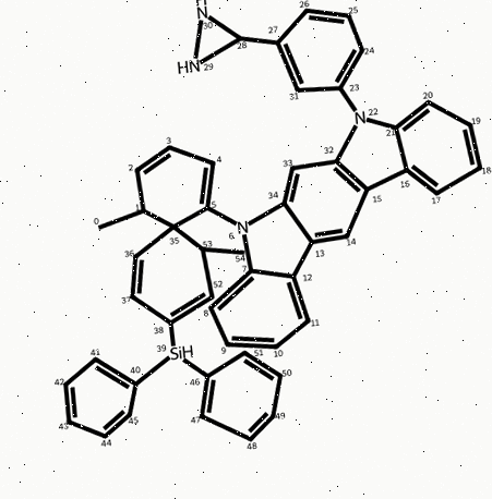 CC1C=CC=C(n2c3ccccc3c3cc4c5ccccc5n(-c5cccc(C6NN6)c5)c4cc32)C12C=CC([SiH](c1ccccc1)c1ccccc1)=CC2C